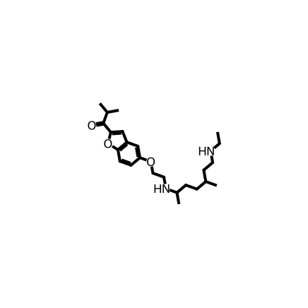 CCNCCC(C)CCC(C)NCCOc1ccc2oc(C(=O)C(C)C)cc2c1